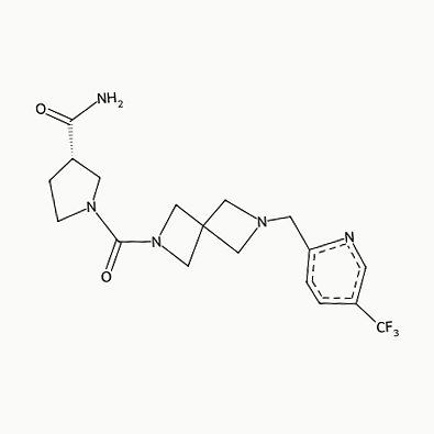 NC(=O)[C@H]1CCN(C(=O)N2CC3(CN(Cc4ccc(C(F)(F)F)cn4)C3)C2)C1